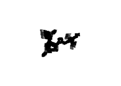 CNc1cn(C)nc1OCC(F)(F)F